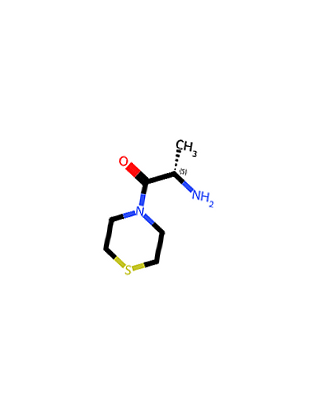 C[C@H](N)C(=O)N1CCSCC1